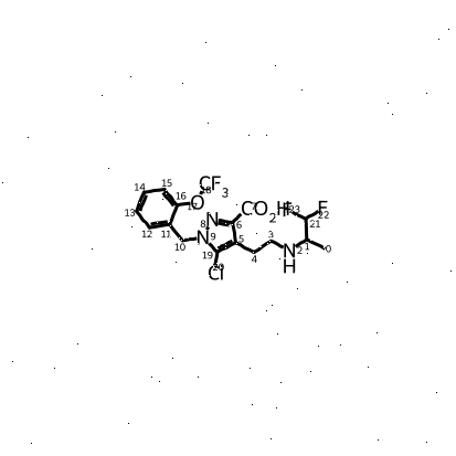 CC(NCCc1c(C(=O)O)nn(Cc2ccccc2OC(F)(F)F)c1Cl)C(F)F